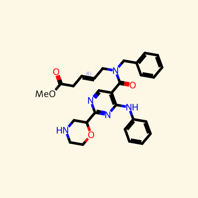 COC(=O)C/C=C/CN(Cc1ccccc1)C(=O)c1cnc(C2CNCCO2)nc1Nc1ccccc1